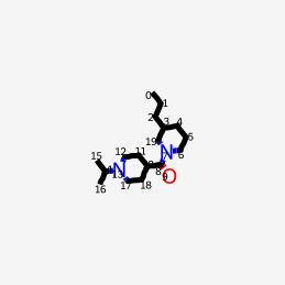 CCCC1CCCN(C(=O)C2CCN(C(C)C)CC2)C1